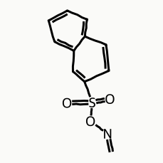 C=NOS(=O)(=O)c1ccc2ccccc2c1